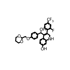 Oc1ccc2c(c1)NCC(c1ccc(C(F)(F)F)cc1F)=C2[C@H](O)c1ccc(OCC2OCCCO2)cc1